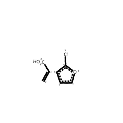 C=CC(=O)O.Clc1ccco1